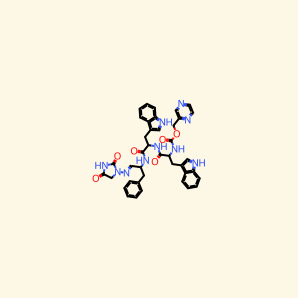 O=C1CN(/N=C/C(Cc2ccccc2)NC(=O)C(Cc2c[nH]c3ccccc23)NC(=O)C(Cc2c[nH]c3ccccc23)NC(=O)OCc2cnccn2)C(=O)N1